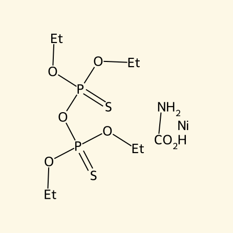 CCOP(=S)(OCC)OP(=S)(OCC)OCC.NC(=O)O.[Ni]